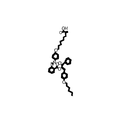 C=C(CCCCCCCOc1ccc(N=Nc2ccccc2C(=O)OC(=Cc2ccc(OCCCCCC)cc2)C(=O)c2ccccc2)cc1)C(=O)O